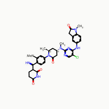 CNc1cc(N2C(=O)C[C@@H](N(C)c3ncc(Cl)c(Nc4ccc5c(c4)CC(=O)N5C)n3)C[C@@H]2C)ccc1C(=N)C1CCC(=O)NC1=O